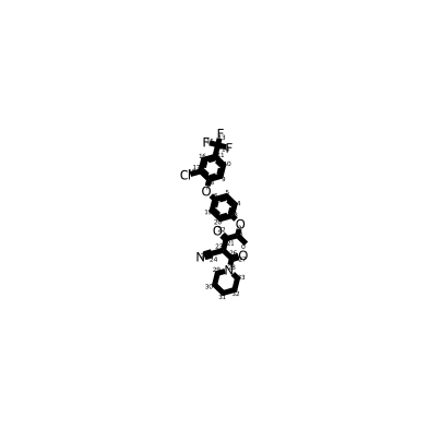 CC(Oc1ccc(Oc2ccc(C(F)(F)F)cc2Cl)cc1)C(=O)C(C#N)C(=O)N1CCCCC1